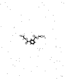 C=COC(=O)c1cccc(C(=O)OC=CI)c1